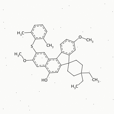 CCC1(CC)CCC2(CC1)c1cc(OC)ccc1-c1c2cc(O)c2cc(OC)c(Sc3c(C)cccc3C)cc12